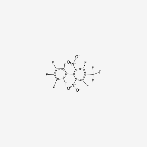 O=[N+]([O-])c1c(F)c(C(F)(F)F)c(F)c([N+](=O)[O-])c1-c1c(F)c(F)c(F)c(F)c1F